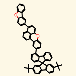 CC(C)(C)c1ccc2c(c1)C1(c3cc(C(C)(C)C)ccc3-2)c2ccccc2-c2c(-c3ccc4c(c3)-c3cccc5c(-c6ccc7oc8ccccc8c7c6)ccc(c35)O4)cccc21